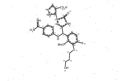 COc1c(C(Nc2ccc(C(=N)N)cc2)c2nn(-c3[nH]ncc3C(=O)O)c(=O)[nH]2)ccc(F)c1OCCCO